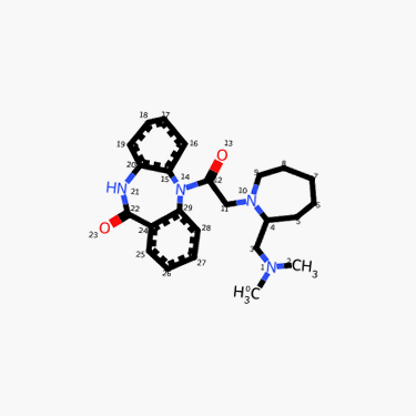 CN(C)CC1CCCCCN1CC(=O)N1c2ccccc2NC(=O)c2ccccc21